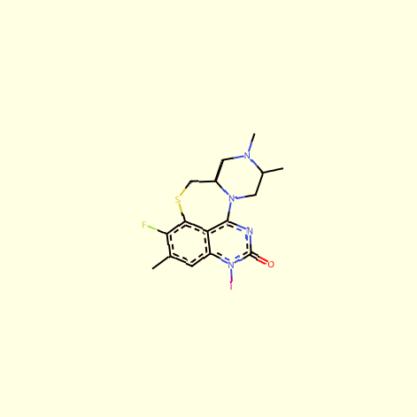 Cc1cc2c3c(nc(=O)n2I)N2CC(C)N(C)CC2CSc3c1F